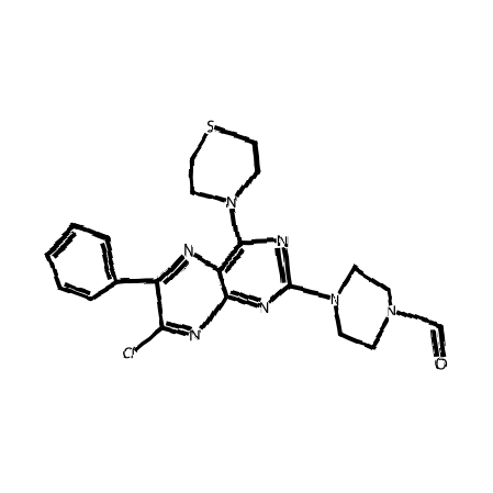 O=CN1CCN(c2nc(N3CCSCC3)c3nc(-c4ccccc4)c(Cl)nc3n2)CC1